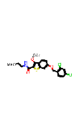 COCCNC(=O)c1sc2cc(OCc3ccc(Cl)cc3Cl)ccc2c1OOC(C)=O